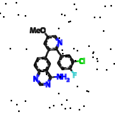 COc1cnc(-c2ccc(F)c(Cl)c2)c(-c2ccc3ncnc(N)c3c2)c1